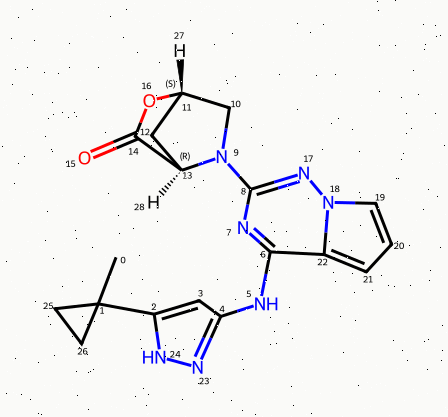 CC1(c2cc(Nc3nc(N4C[C@@H]5C[C@@H]4C(=O)O5)nn4cccc34)n[nH]2)CC1